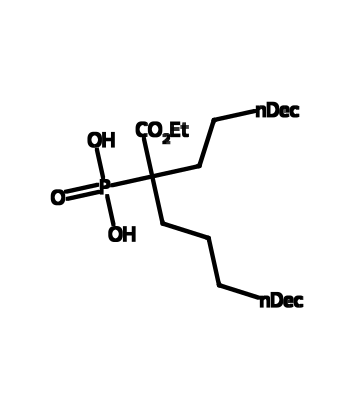 CCCCCCCCCCCCCC(CCCCCCCCCCCC)(C(=O)OCC)P(=O)(O)O